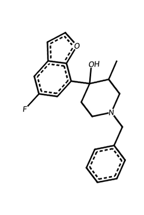 CC1CN(Cc2ccccc2)CCC1(O)c1cc(F)cc2ccoc12